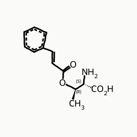 C[C@@H](OC(=O)C=Cc1ccccc1)[C@H](N)C(=O)O